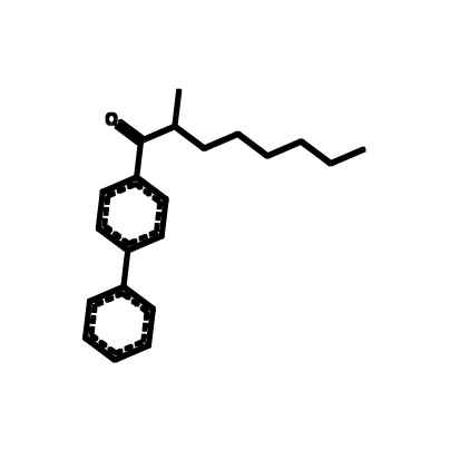 CCCCCCC(C)C(=O)c1ccc(-c2ccccc2)cc1